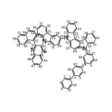 c1ccc(-c2ccc(-c3cccc(-n4c5ccccc5c5c6c7ccccc7n(-c7ccc8c(c7)c7ccccc7n8-c7nc8ccccc8nc7-c7cccc8ccccc78)c6ccc54)c3)cc2)cc1